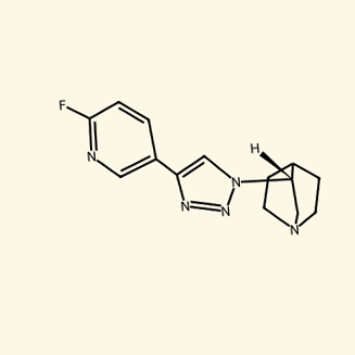 Fc1ccc(-c2cn([C@H]3CN4CCC3CC4)nn2)cn1